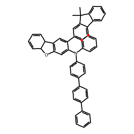 CC1(C)c2ccccc2-c2ccc(-c3cc4c(cc3N(c3ccccc3)c3ccc(-c5ccc(-c6ccccc6)cc5)cc3)OC3C=CC=CC43)cc21